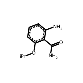 CC(C)Oc1cccc(N)c1C(N)=O